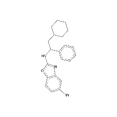 CC(C)c1ccc2oc(NC(CC3CCCCC3)c3ccccc3)nc2c1